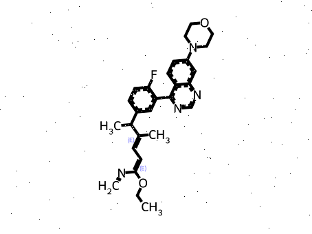 C=N/C(=C\C=C(/C)C(C)c1ccc(F)c(-c2ncnc3cc(N4CCOCC4)ccc23)c1)OCC